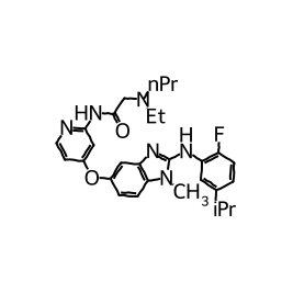 CCCN(CC)CC(=O)Nc1cc(Oc2ccc3c(c2)nc(Nc2cc(C(C)C)ccc2F)n3C)ccn1